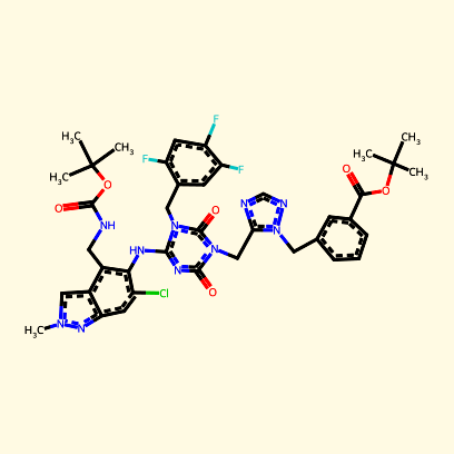 Cn1cc2c(CNC(=O)OC(C)(C)C)c(Nc3nc(=O)n(Cc4ncnn4Cc4cccc(C(=O)OC(C)(C)C)c4)c(=O)n3Cc3cc(F)c(F)cc3F)c(Cl)cc2n1